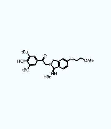 Br.COCCOc1ccc2c(c1)CN(CC(=O)c1cc(C(C)(C)C)c(O)c(C(C)(C)C)c1)C2=N